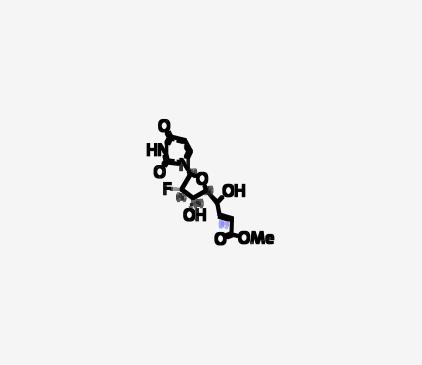 COC(=O)/C=C/C(O)[C@@H]1O[C@H](n2ccc(=O)[nH]c2=O)[C@@H](F)[C@H]1O